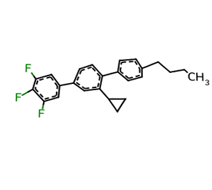 CCCCc1ccc(-c2ccc(-c3cc(F)c(F)c(F)c3)cc2C2CC2)cc1